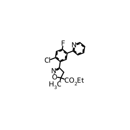 CCOC(=O)C1(C)CC(c2cc(-c3ccccn3)c(F)cc2Cl)=NO1